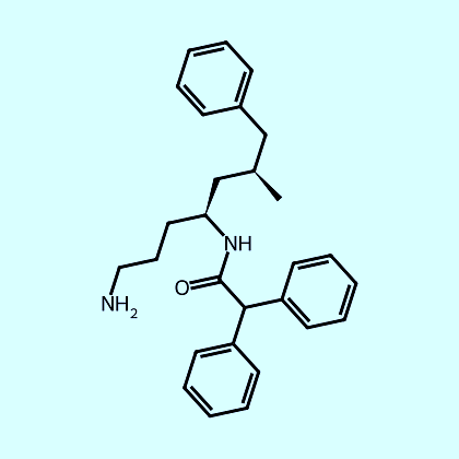 C[C@H](Cc1ccccc1)C[C@H](CCCN)NC(=O)C(c1ccccc1)c1ccccc1